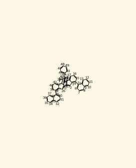 CC1=Cc2c(-c3cccc4ccccc34)cccc2[CH]1[Hf]([CH3])([CH3])([CH]1C(C)=Cc2c(-c3cccc4ccccc34)cccc21)[SiH](C)c1ccccc1